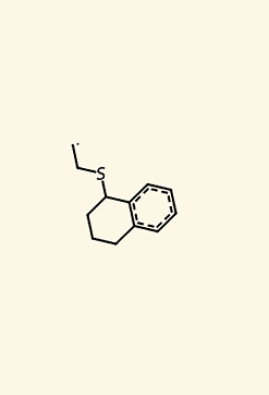 [CH2]CSC1CCCc2ccccc21